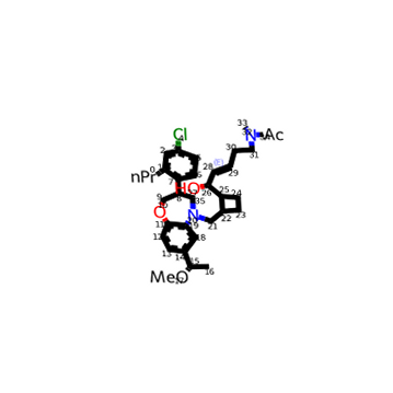 CCCc1cc(Cl)ccc1C1COc2ccc(C(C)OC)cc2N(CC2CCC2C(O)/C=C/CCN(C)C(C)=O)C1